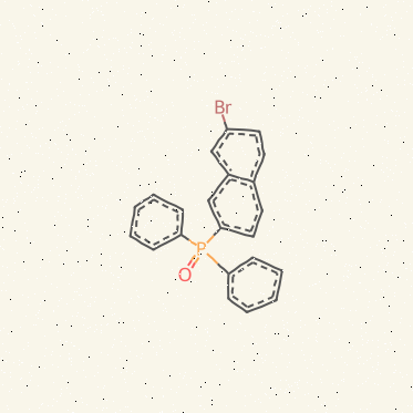 O=P(c1ccccc1)(c1ccccc1)c1ccc2ccc(Br)cc2c1